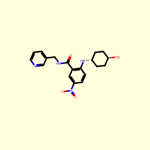 O=C(NCc1cccnc1)c1cc([N+](=O)[O-])ccc1N[C@H]1CC[C@H](O)CC1